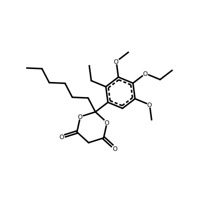 CCCCCCC1(c2cc(OC)c(OCC)c(OC)c2CC)OC(=O)CC(=O)O1